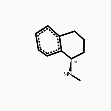 CN[C@@H]1CCCc2ccccc21